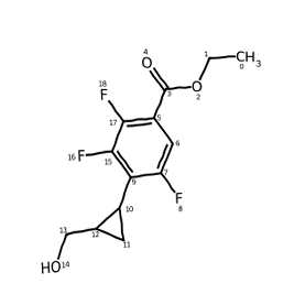 CCOC(=O)c1cc(F)c(C2CC2CO)c(F)c1F